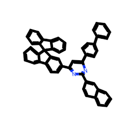 c1ccc(-c2ccc(-c3cc(-c4ccc5c(c4)C4(c6ccccc6-c6ccccc64)c4ccccc4-5)nc(-c4ccc5ccccc5c4)n3)cc2)cc1